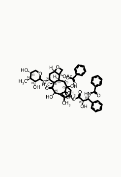 CC(=O)O[C@@]12CO[C@@H]1C[C@H](OC1OC[C@@H](O)[C@H](C)[C@H]1O)[C@@]1(C)C(=O)[C@H](O)C3=C(C)[C@@H](OC(=O)[C@H](O)[C@@H](NC(=O)c4ccccc4)c4ccccc4)C[C@@](O)([C@@H](OC(=O)c4ccccc4)[C@H]21)C3(C)C